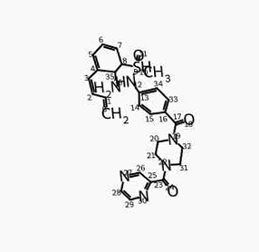 C=C/C=C\C1=CC=CC([SH](C)(=O)Nc2ccc(C(=O)N3CCN(C(=O)c4cnccn4)CC3)cc2)C1N